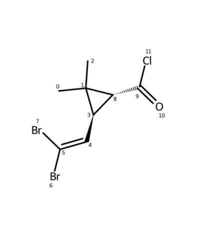 CC1(C)[C@H](C=C(Br)Br)[C@H]1C(=O)Cl